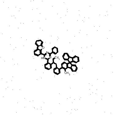 CCC(Cc1ccccc1-c1ccc2c(c1C)-c1ccccc1C21c2ccccc2-c2ccccc21)c1ccccc1C1N=C(c2ccccc2)N=C(c2cccc3c2oc2ccccc23)N1